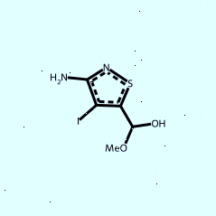 COC(O)c1snc(N)c1I